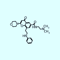 CN(C)CCNC(=O)c1cc(CCNc2ccccc2)c2oc(N3CCOCC3)cc(=O)c2c1